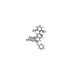 CCCCCCCN(Cc1ccccc1)Cc1cnc(-c2c(CC)cccc2CC)cc1OC